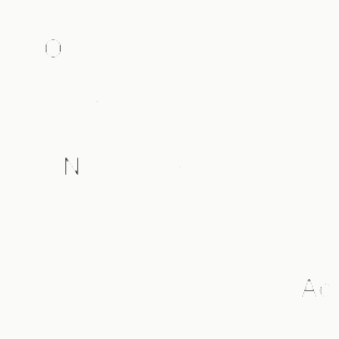 CC(=O)c1ccc2c(c1)CC(=O)N2C